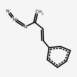 C=C(/C=C/c1ccccc1)N=[N+]=[N-]